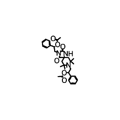 CC(=O)OC(CN1C(=O)NC2(CC(C)(C)N(CC(OC(C)=O)c3ccccc3)C(C)(C)C2)C1=O)c1ccccc1